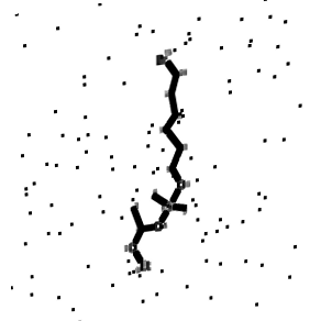 CCOC(C)O[Si](C)(C)OCCCCCCBr